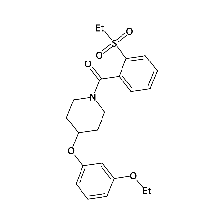 CCOc1cccc(OC2CCN(C(=O)c3ccccc3S(=O)(=O)CC)CC2)c1